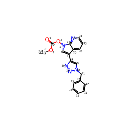 CC(C)(C)OC(=O)On1cc(-c2cn(Cc3ccccc3)nn2)c2cccnc21